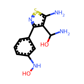 Nc1snc(-c2cccc(NO)c2)c1C(N)O